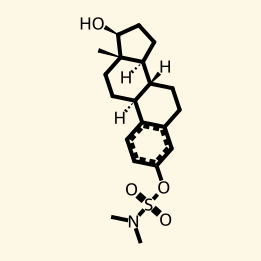 CN(C)S(=O)(=O)Oc1ccc2c(c1)CC[C@@H]1[C@@H]2CC[C@]2(C)[C@@H](O)CC[C@@H]12